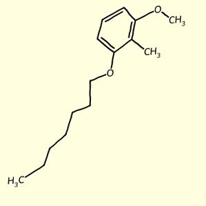 CCCCCCCOc1cccc(OC)c1C